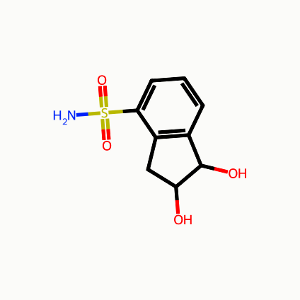 NS(=O)(=O)c1cccc2c1CC(O)C2O